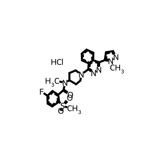 CN(C(=O)c1cc(F)ccc1S(C)(=O)=O)C1CCN(c2nnc(-c3ccnn3C)c3ccccc23)CC1.Cl